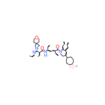 C=C/C=C1/C=C(C2CCCC(BC)CCC2)CCN(C(=O)/C(C=C)=C/C=C(\C=C)NC(=O)C(=C/C)/C(=N\C=C/C)N2CC3(CCOCC3)C2)/C1=C/C=C